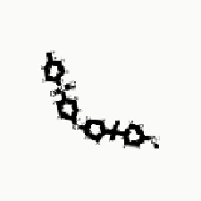 COc1ccc(C(C)(C)c2ccc(Oc3ccc(S(=O)(=O)c4ccc(C)cc4)cc3)cc2)cc1